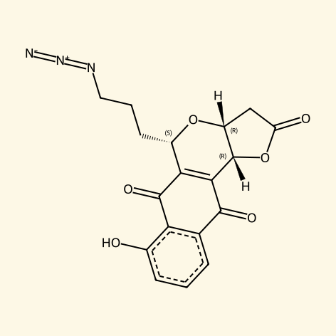 [N-]=[N+]=NCCC[C@@H]1O[C@@H]2CC(=O)O[C@@H]2C2=C1C(=O)c1c(O)cccc1C2=O